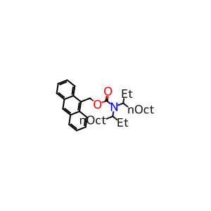 CCCCCCCCC(CC)N(C(=O)OCc1c2ccccc2cc2ccccc12)C(CC)CCCCCCCC